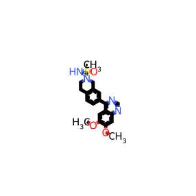 COc1cc2ncnc(-c3ccc4c(c3)CN([S@](C)(=N)=O)CC4)c2cc1OC